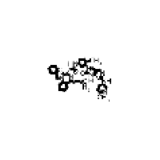 C=CCCC1=N[C@@H](CC(=O)NC2C=C(N3Cc4cnc(Nc5ccc(C)nc5)nc4NC3=O)C(C)=CC2)C(=O)N(Cc2ccccc2)c2ccccc21